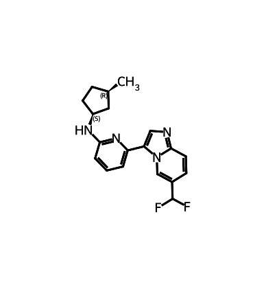 C[C@@H]1CC[C@H](Nc2cccc(-c3cnc4ccc(C(F)F)cn34)n2)C1